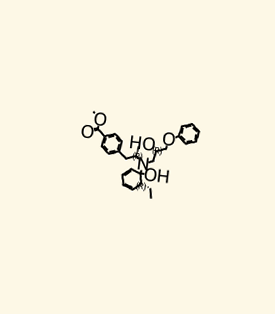 CC[C@@H]1C=CC=CC1(O)N(C[C@@H](O)COc1ccccc1)[C@H](C)Cc1ccc(C(=O)OC)cc1